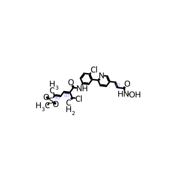 C=C(Cl)/C(=C\C=C(/C)S(C)(=O)=O)C(=O)Nc1ccc(Cl)c(-c2ccc(/C=C/C(=O)NO)cn2)c1